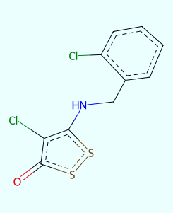 O=c1ssc(NCc2ccccc2Cl)c1Cl